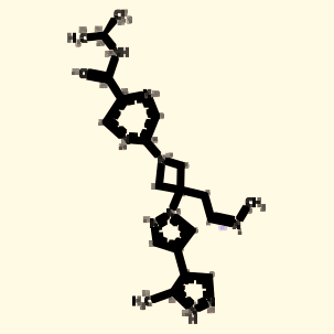 C/N=C\CC1(n2cc(-c3cn[nH]c3C)cn2)CN(c2cnc(C(=O)N[C@@H](C)C(F)(F)F)cn2)C1